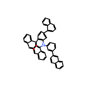 c1cc(-c2ccc3ccccc3c2)cc(N(c2cc(-c3cccc4ccccc34)ccc2-c2cccc3ccccc23)c2cccc3ccccc23)c1